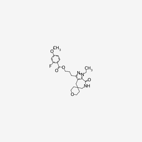 CCn1nc(CCCOC(=O)c2ccc(OC)cc2F)c2c1C(=O)NCC1(CCOCC1)C2